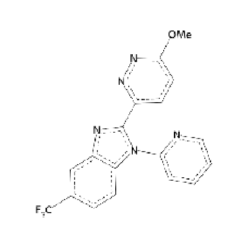 COc1ccc(-c2nc3cc(C(F)(F)F)ccc3n2-c2ccccn2)nn1